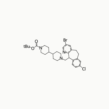 CC(C)(C)OC(=O)N1CCC(C2CCN(CC3c4ccc(Cl)cc4CCc4cc(Br)cnc43)CC2)CC1